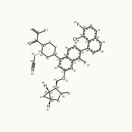 C=C(F)C(=O)N1CCN(c2nc(OC[C@@H]3[C@H]4C[C@H]4CN3C)nc3c(F)c(-c4cccc5ccc(F)c(Cl)c45)ncc23)C[C@@H]1CC#N